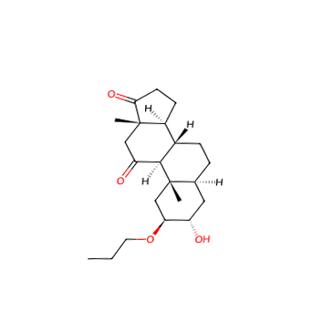 CCCO[C@H]1C[C@@]2(C)[C@@H](CC[C@@H]3[C@@H]2C(=O)C[C@]2(C)C(=O)CC[C@@H]32)C[C@@H]1O